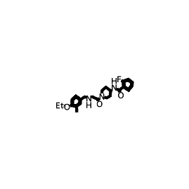 CCOc1ccc(CNCC(=O)N2CCC(NC(=O)c3ccccc3F)CC2)cc1C